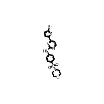 O=S(=O)(c1ccc(Nc2nccc(-c3ccc(Br)s3)n2)cc1)N1CCOCC1